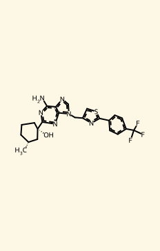 C[C@@H]1CCC[C@@](O)(c2nc(N)c3ncn(Cc4csc(-c5ccc(C(F)(F)F)cc5)n4)c3n2)C1